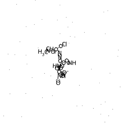 CN(C)CCOc1ccc(-c2ccc(Cl)cc2)c(CN2CCN(c3ccc(C(=O)NS(=O)(=O)c4ccc(NCC5CCOCC5)c([N+](=O)[O-])c4)c(Oc4cccc5[nH]ccc45)c3)CC2)c1